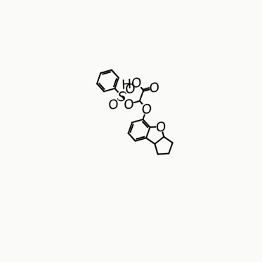 O=C(O)C(Oc1cccc2c1OC1CCCC21)OS(=O)(=O)c1ccccc1